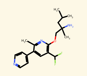 Cc1nc(OCC(C)(N)CC(C)C)c(C(F)F)cc1-c1ccncc1